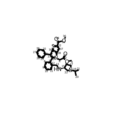 COC(=O)Cn1c(-c2ccccc2CN[C@H]2CCN(C(C)C)C2)c(-c2ccccc2)c2sc(C(=O)OC)cc21